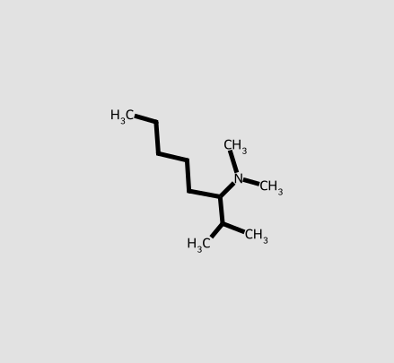 CCCCCC(C(C)C)N(C)C